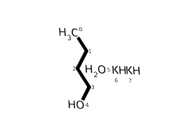 CCCCO.O.[KH].[KH]